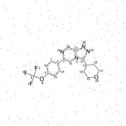 FC(F)(F)Oc1ccc(-c2cn3c(C4CCOCC4)nnc3cn2)cc1